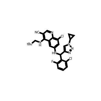 CC(C)(C)CNc1c(C#N)cnc2c(Cl)cc(NC(c3cn(C4CC4)nn3)c3c(F)cccc3Cl)cc12